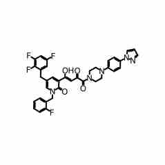 O=C(C=C(O)c1cc(Cc2cc(F)cc(F)c2F)cn(Cc2ccccc2F)c1=O)C(=O)N1CCN(c2ccc(-n3cccn3)cc2)CC1